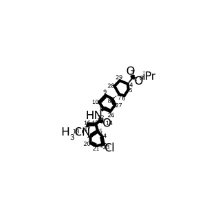 CC(C)OC(=O)[C@H]1CC[C@H](c2ccc(NC(=O)c3cn(C)c4ccc(Cl)cc34)cc2)CC1